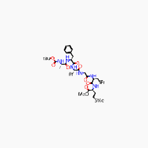 COC(=O)[C@H](CCSC)NC(=O)[C@H](CC(C)C)NC(=O)CNC(=O)[C@@H](NC(=O)[C@H](Cc1ccccc1)NC(=O)[C@H](C)NC(=O)OC(C)(C)C)C(C)C